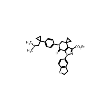 CCOC(=O)c1nn(-c2ccc3c(c2)CCO3)c2c1C1(CC1)CN(c1ccc(C3(CN(C)C)CC3)cc1)C2=O